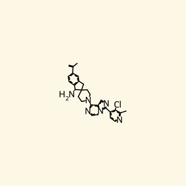 C=C(C)c1ccc2c(c1)CC1(CCN(c3nccn4c(-c5ccnc(C)c5Cl)ncc34)CC1)C2N